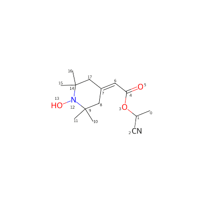 CC(C#N)OC(=O)C=C1CC(C)(C)N(O)C(C)(C)C1